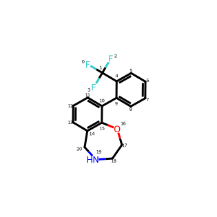 FC(F)(F)c1ccccc1-c1cccc2c1OCCNC2